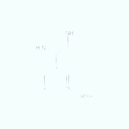 CCCCCCc1cccc(C(N)CN)c1